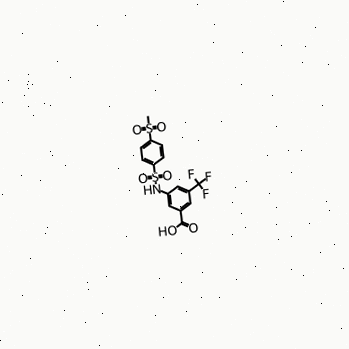 CS(=O)(=O)c1ccc(S(=O)(=O)Nc2cc(C(=O)O)cc(C(F)(F)F)c2)cc1